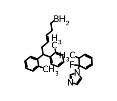 BCCC=CCC(c1ccccc1C)c1ccccc1C.CC1C=CC=CC1(F)n1ccnc1